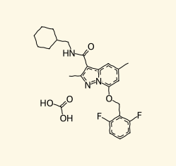 Cc1cc(OCc2c(F)cccc2F)n2nc(C)c(C(=O)NCC3CCCCC3)c2c1.O=C(O)O